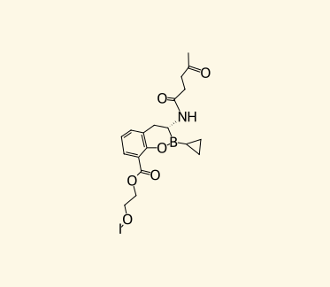 CC(=O)CCC(=O)N[C@H]1Cc2cccc(C(=O)OCCOI)c2OB1C1CC1